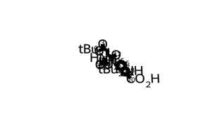 CC(C)(C)OC(=O)CC(NC(=O)OC(C)(C)C)C(=O)Nc1ccc2[nH]c(C(=O)O)cc2c1